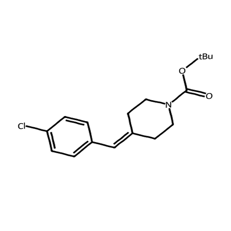 CC(C)(C)OC(=O)N1CCC(=Cc2ccc(Cl)cc2)CC1